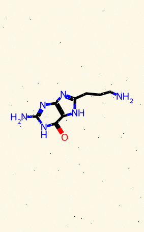 NCCCc1nc2nc(N)[nH]c(=O)c2[nH]1